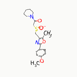 COc1ccc(-c2nc(C[S+]([O-])CC(=O)N3CCCCC3)c(C)o2)cc1